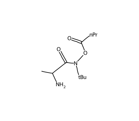 CCCC(=O)ON(C(=O)C(C)N)C(C)(C)C